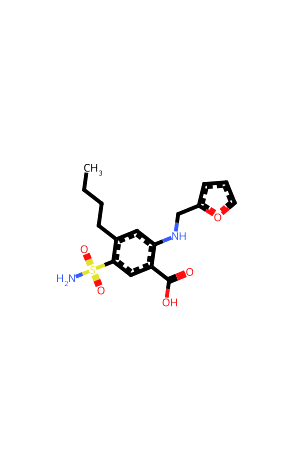 CCCCc1cc(NCc2ccco2)c(C(=O)O)cc1S(N)(=O)=O